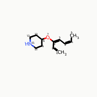 C=C/C(=C\C=C/C)OC1CCNCC1